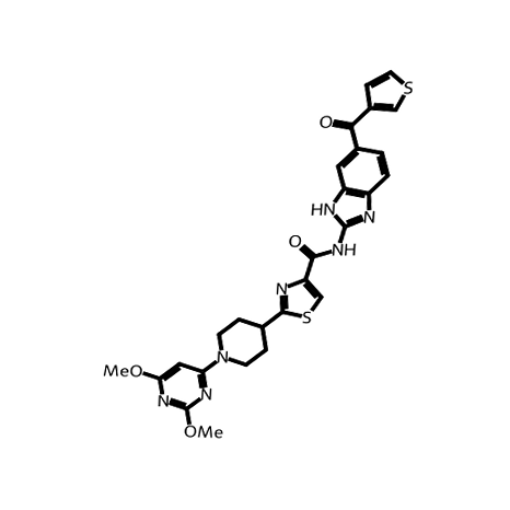 COc1cc(N2CCC(c3nc(C(=O)Nc4nc5ccc(C(=O)c6ccsc6)cc5[nH]4)cs3)CC2)nc(OC)n1